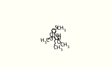 CCCC/C(C(=O)OCC)=C(/Nc1cccc(SC)c1)C(=O)OCC